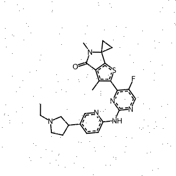 CCN1CCC(c2ccc(Nc3ncc(F)c(-c4sc5c(c4C)C(=O)N(C)C54CC4)n3)nc2)C1